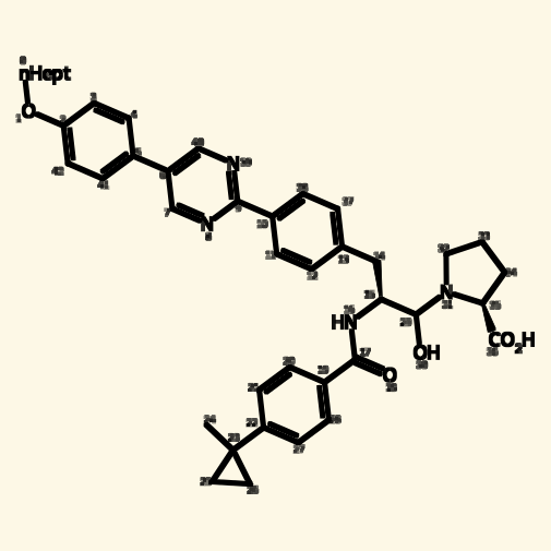 CCCCCCCOc1ccc(-c2cnc(-c3ccc(C[C@H](NC(=O)c4ccc(C5(C)CC5)cc4)C(O)N4CCC[C@H]4C(=O)O)cc3)nc2)cc1